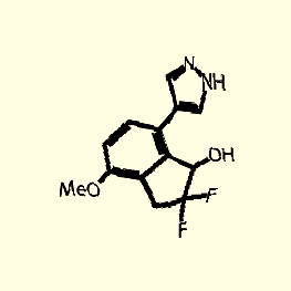 COc1ccc(-c2cn[nH]c2)c2c1CC(F)(F)C2O